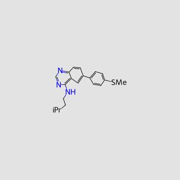 CSc1ccc(-c2ccc3ncnc(NCCC(C)C)c3c2)cc1